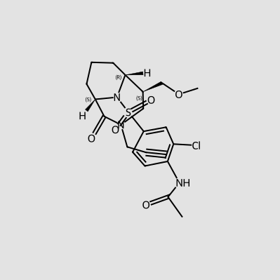 C#CCN1C[C@H](COC)[C@H]2CCC[C@@H](C1=O)N2S(=O)(=O)c1ccc(NC(C)=O)c(Cl)c1